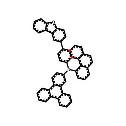 c1ccc2c(c1)ccc1cccc(N(c3ccc(-c4ccc5oc6ccccc6c5c4)cc3)c3ccc4c5ccccc5c5ccccc5c4c3)c12